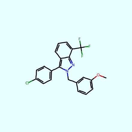 COc1cccc(Cn2nc3c(C(F)(F)F)cccc3c2-c2ccc(Cl)cc2)c1